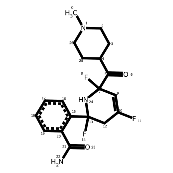 CN1CCC(C(=O)C2(F)C=C(F)CC(F)(c3ccccc3C(N)=O)N2)CC1